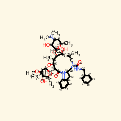 CO[C@]1(C)C[C@H](O[C@H]2[C@H](C)[C@@H](O[C@@H]3O[C@H](C)C[C@H](N(C)C)[C@H]3O)[C@](C)(O)C[C@@H](C)CN(C(=O)NCc3ccccc3)CC(Cc3ccccc3)NC(=O)[C@@H]2C)O[C@@H](C)[C@@H]1O